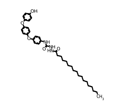 CCCCCCCCCCCCCCCCCC(=O)NNC(=O)Nc1ccc(Oc2ccc(Oc3ccc(O)cc3)cc2)cc1